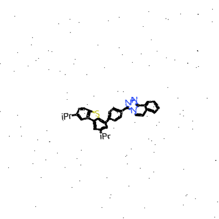 CC(C)c1ccc2sc3c(-c4ccc(-c5nnc6c7ccccc7ccn56)cc4)cc(C(C)C)cc3c2c1